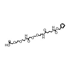 O=C(O)COCCOCCNC(=O)COCCOCCNC(=O)CCCNC(=O)OCc1ccccc1